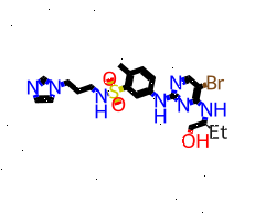 CC[C@H](CO)Nc1nc(Nc2ccc(C)c(S(=O)(=O)NCCCn3ccnc3)c2)ncc1Br